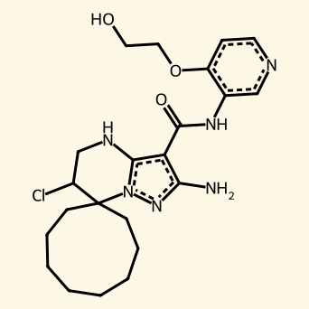 Nc1nn2c(c1C(=O)Nc1cnccc1OCCO)NCC(Cl)C21CCCCCCCC1